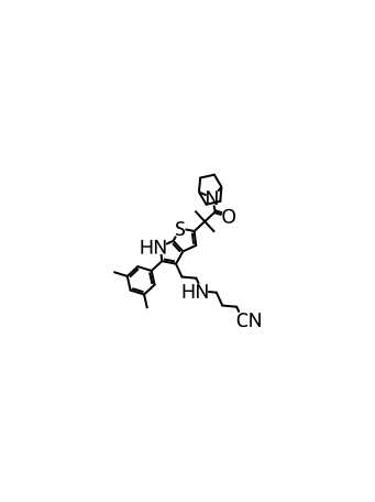 Cc1cc(C)cc(-c2[nH]c3sc(C(C)(C)C(=O)N4C5CCC4CC5)cc3c2CCNCCCC#N)c1